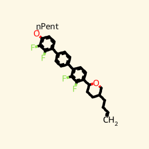 C=CCCC1CCC(c2ccc(-c3ccc(-c4ccc(OCCCCC)c(F)c4F)cc3)c(F)c2F)OC1